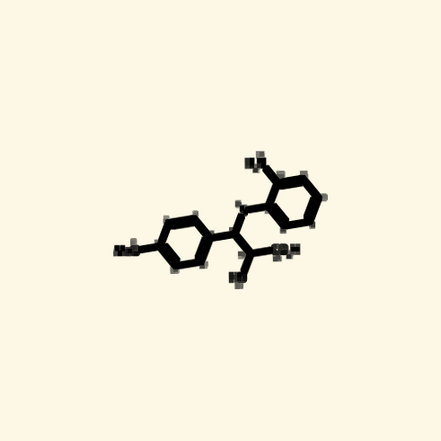 COc1ccc(C(Sc2ccccc2N)C(O)C(=O)O)cc1